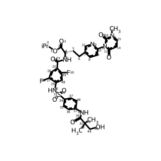 CC(C)OC(=O)[C@H](CCc1ccc(-n2c(=O)ccn(C)c2=O)nc1)NC(=O)c1cc(F)c(NS(=O)(=O)c2ccc(NC(=O)C(C)(C)CO)cc2)cc1F